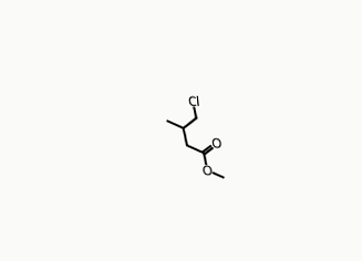 COC(=O)CC(C)CCl